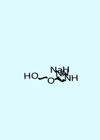 OCCOc1c[nH]nn1.[NaH]